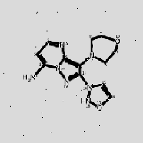 Nc1ccnc2c(N3CCOCC3)c(N3C=CON3)nn12